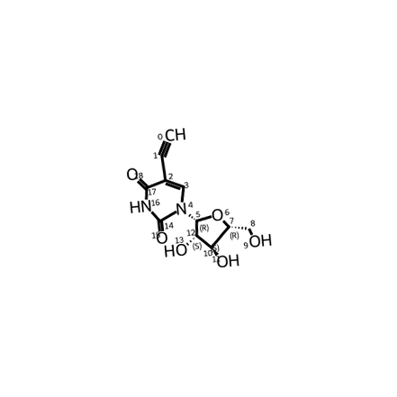 C#Cc1cn([C@@H]2O[C@H](CO)[C@@H](O)[C@@H]2O)c(=O)[nH]c1=O